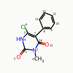 Cn1c(=O)[nH]c(Cl)c(-c2ccccc2)c1=O